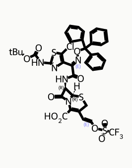 CC(C)(C)OC(=O)Nc1nc(/C(=N\OC(c2ccccc2)(c2ccccc2)c2ccccc2)C(=O)N[C@@H]2C(=O)N3C(C(=O)O)=C(/C=C/OS(=O)(=O)C(F)(F)F)CS[C@H]23)c(Cl)s1